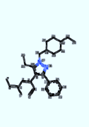 C=C/C(=C\C(C)=C/C)c1c(-c2ccccc2)nn(CC2CCC(CC)CC2)c1CC